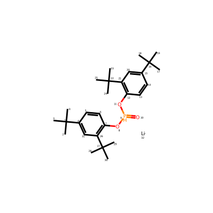 CC(C)(C)c1ccc(O[PH](=O)Oc2ccc(C(C)(C)C)cc2C(C)(C)C)c(C(C)(C)C)c1.[Li]